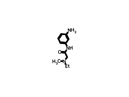 CCN(C)CC(=O)Nc1cccc(N)c1